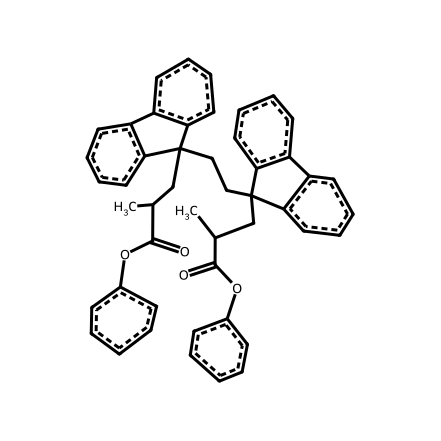 CC(CC1(CCC2(CC(C)C(=O)Oc3ccccc3)c3ccccc3-c3ccccc32)c2ccccc2-c2ccccc21)C(=O)Oc1ccccc1